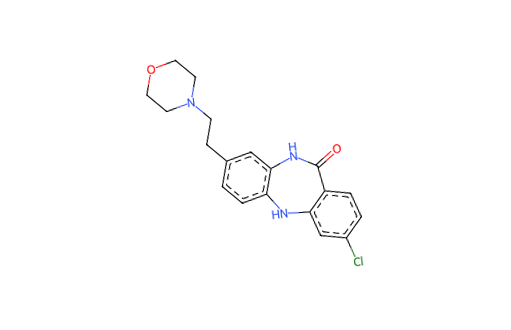 O=C1Nc2cc(CCN3CCOCC3)ccc2Nc2cc(Cl)ccc21